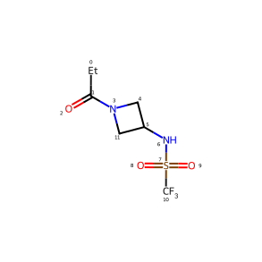 CCC(=O)N1CC(NS(=O)(=O)C(F)(F)F)C1